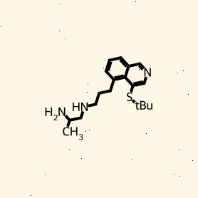 CC(N)CNCCCc1cccc2cncc(SC(C)(C)C)c12